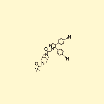 CC(C)(C)C(=O)CN1CC2CC(C1)CN(C(=O)Cn1ncc(-c3ccc(C#N)cc3)c1-c1ccc(C#N)cc1)C2